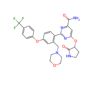 NC(=O)c1cc(OC2CCNC2=O)nc(-c2ccc(Oc3ccc(C(F)(F)F)cc3)cc2CN2CCOCC2)n1